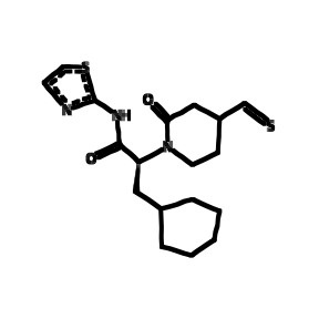 O=C(Nc1nccs1)[C@H](CC1CCCCC1)N1CCC(C=S)CC1=O